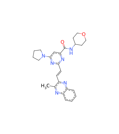 Cc1nc2ccccc2nc1C=Cc1nc(C(=O)NC2CCOCC2)cc(N2CCCC2)n1